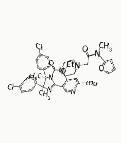 CCOc1cc(C(C)(C)C)ncc1C1=N[C@@](C)(c2ccc(Cl)cc2)[C@@](C)(c2ccc(Cl)cc2)N1C(=O)N1CCN(CC(=O)N(C)c2ccco2)CC1